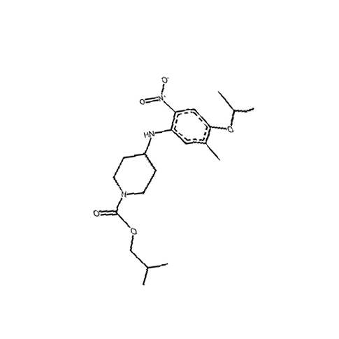 Cc1cc(NC2CCN(C(=O)OCC(C)C)CC2)c([N+](=O)[O-])cc1OC(C)C